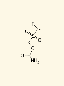 CC(F)S(=O)(=O)COC(N)=O